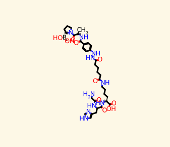 C[C@@H](NC(=O)c1ccc(NNC(=O)CCCCC(=O)NCCCC[C@H](NC(=O)C(Cc2c[nH]cn2)NC(=O)CN)C(=O)O)cc1)C(=O)N1CCC[C@H]1B(O)O